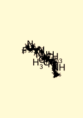 CC(C)(C(=O)Nc1ncc(-c2cncc(F)c2)cn1)c1csc(NSC2CC2)n1